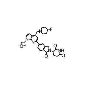 O=C1CCC(N2Cc3cc(-c4cc(CN5CCC(F)CC5)c5ccn(C6COC6)c5n4)ccc3C2=O)C(=O)N1